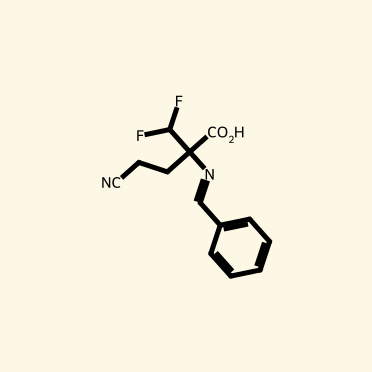 N#CCCC(/N=C/c1ccccc1)(C(=O)O)C(F)F